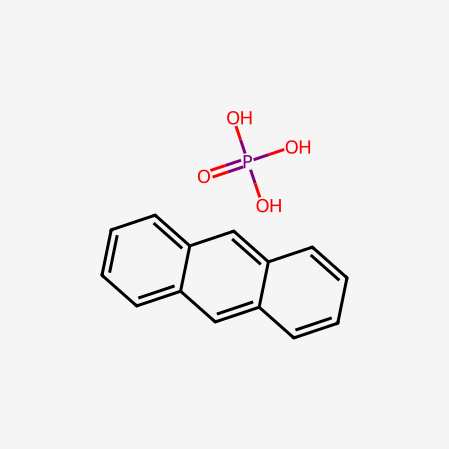 O=P(O)(O)O.c1ccc2cc3ccccc3cc2c1